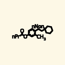 CCCCCCCCCC1(CCc2ccc(OC(=O)CCC)cc2C)CCCCC1